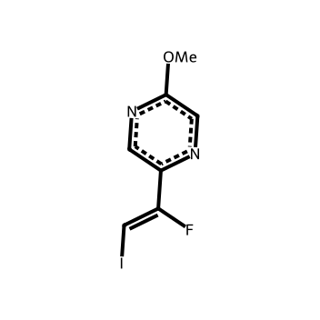 COc1cnc(C(F)=CI)cn1